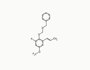 CC=Cc1cc(OC(F)(F)F)cc(F)c1OCOCc1ccccc1